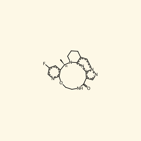 C[C@@H]1c2cc(F)cnc2OCCNC(=O)c2cnn3cc4c(nc23)N1CCC4